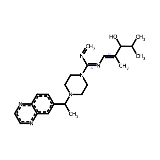 C=N/C(=N\C=C(/C)C(O)C(C)C)N1CCN(C(C)c2ccc3nccnc3c2)CC1